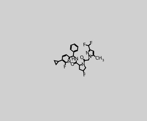 Cc1cc(C(F)F)nn1CC(=O)N1CC(F)CC1C(=O)NC(c1ccccc1)c1ccc(C2CC2)c(F)n1